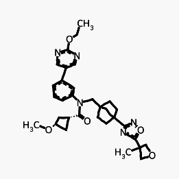 CCOc1ncc(-c2cccc(N(CC34CCC(c5noc(C6(C)COC6)n5)(CC3)CC4)C(=O)[C@H]3C[C@@H](OC)C3)c2)cn1